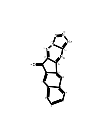 O=C1c2cc3ccccc3cc2-c2nc3nnnn3nc21